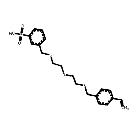 C=Cc1ccc(CSCCSCCSCc2cccc(S(=O)(=O)O)c2)cc1